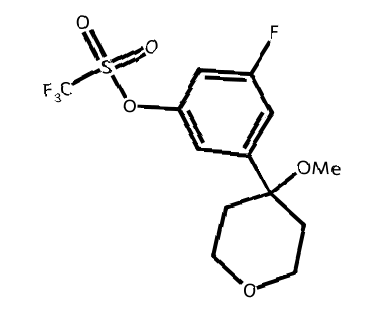 COC1(c2cc(F)cc(OS(=O)(=O)C(F)(F)F)c2)CCOCC1